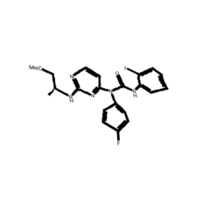 COC[C@H](C)Nc1nccc(N(C(=O)Nc2ccccc2F)c2ccc(F)cc2)n1